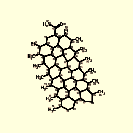 CCC1C(C)C2C(C)C3C(C)C4C(C)C5C(C)C6C(C)CCC7C8CCC(C)C9C(C)C%10C(C)C%11C(C)C%12C(C)C%13C(C)C(CC)C%14C(C(N)=O)CC1C1C2C2C3C3C4C4C5C(C76)C(C89)C%10C4C%11C3C%12C2C%13C%141